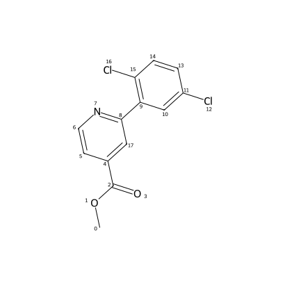 COC(=O)c1ccnc(-c2cc(Cl)ccc2Cl)c1